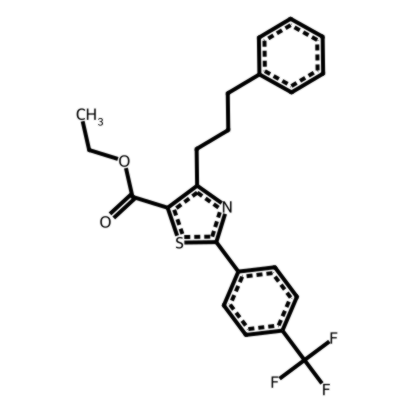 CCOC(=O)c1sc(-c2ccc(C(F)(F)F)cc2)nc1CCCc1ccccc1